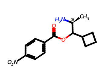 C[C@H](N)C(OC(=O)c1ccc([N+](=O)[O-])cc1)C1CCC1